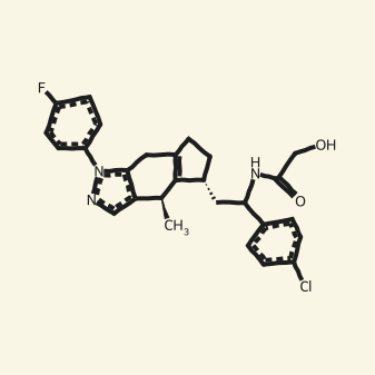 C[C@@H]1C2=C(CC[C@@H]2CC(NC(=O)CO)c2ccc(Cl)cc2)Cc2c1cnn2-c1ccc(F)cc1